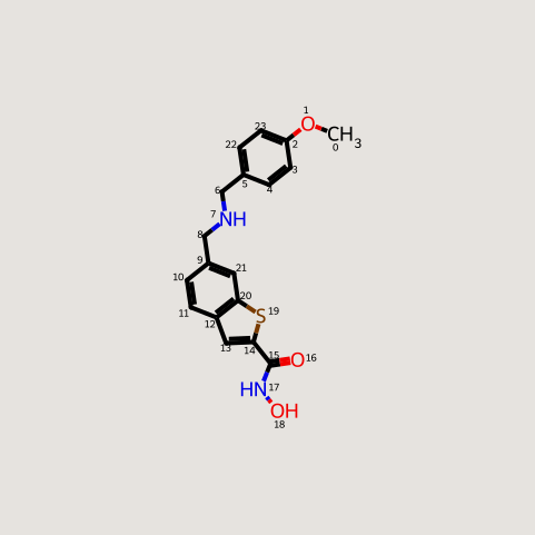 COc1ccc(CNCc2ccc3cc(C(=O)NO)sc3c2)cc1